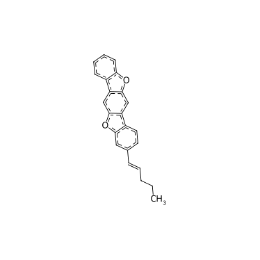 CCC/C=C/c1ccc2c(c1)oc1cc3c(cc12)oc1ccccc13